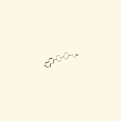 O=C1CC(C2CCC(C3CCC(c4ccc5c(F)c(F)ccc5c4)CC3)CC2)O1